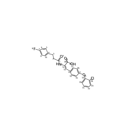 O=C(CCc1ccc(F)cc1)N/C(=C/c1ccc(Oc2ccccc2Cl)cc1)C(=O)O